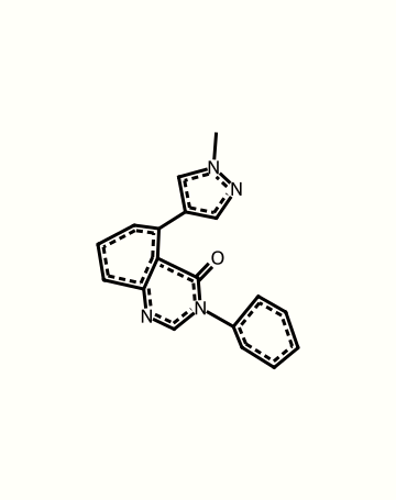 Cn1cc(-c2cccc3ncn(-c4ccccc4)c(=O)c23)cn1